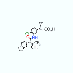 C[C@H](C(C(=O)Nc1cc([C@@H](CC(=O)O)C2CC2)ccc1Cl)c1ccc2c(c1)CCC2)C(F)(F)F